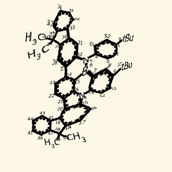 CC(C)(C)c1ccc(N2B3c4cc(C(C)(C)C)ccc4-n4c5ccc6c(c5c5ccc(c3c54)-c3cc4c(cc32)-c2ccccc2C4(C)C)-c2ccccc2C6(C)C)cc1